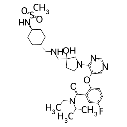 CCN(C(=O)c1cc(F)ccc1Oc1cncnc1N1CCC(O)(CNC[C@H]2CC[C@H](NS(C)(=O)=O)CC2)C1)C(C)C